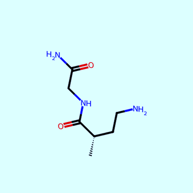 C[C@@H](CCN)C(=O)NCC(N)=O